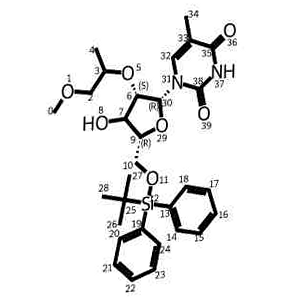 COCC(C)O[C@H]1C(O)[C@@H](CO[Si](c2ccccc2)(c2ccccc2)C(C)(C)C)O[C@H]1n1cc(C)c(=O)[nH]c1=O